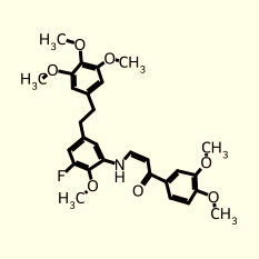 COc1ccc(C(=O)/C=C\Nc2cc(CCc3cc(OC)c(OC)c(OC)c3)cc(F)c2OC)cc1OC